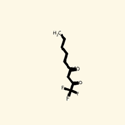 CCCCCC(=O)CC(=O)C(F)(F)F